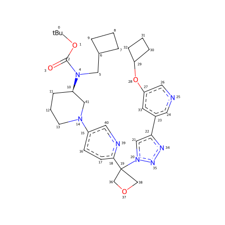 CC(C)(C)OC(=O)N(CC1CCC1)[C@@H]1CCCN(c2ccc(C3(n4cc(-c5cncc(OC6CCC6)c5)nn4)COC3)nc2)C1